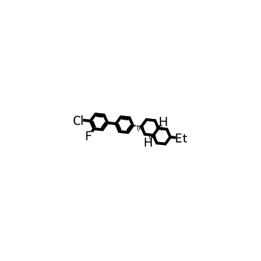 CCC1CC[C@@H]2C[C@H](c3ccc(-c4ccc(Cl)c(F)c4)cc3)CC[C@@H]2C1